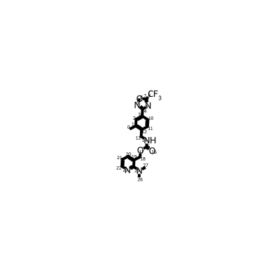 Cc1cc(-c2noc(C(F)(F)F)n2)ccc1CNC(=O)OCc1cccnc1N(C)C